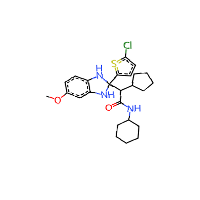 COc1ccc2c(c1)NC(c1ccc(Cl)s1)(C(C(=O)NC1CCCCC1)C1CCCC1)N2